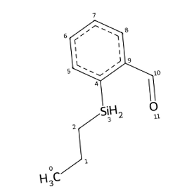 CCC[SiH2]c1ccccc1C=O